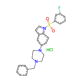 Cl.O=S(=O)(c1cccc(F)c1)n1ccc2cc(N3CCN(Cc4ccccc4)CC3)ccc21